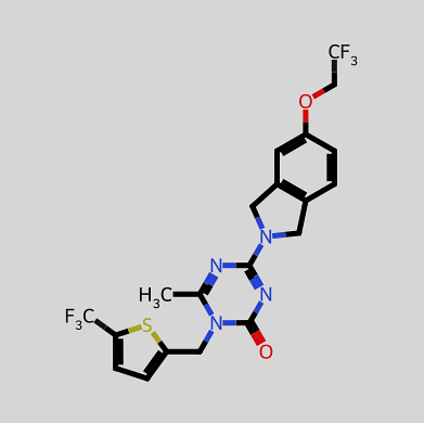 Cc1nc(N2Cc3ccc(OCC(F)(F)F)cc3C2)nc(=O)n1Cc1ccc(C(F)(F)F)s1